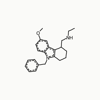 CCNCC1CCCc2c1c1cc(OC)ccc1n2Cc1ccccc1